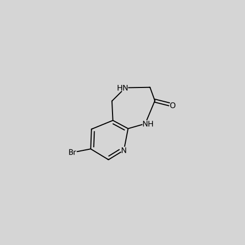 O=C1CNCc2cc(Br)cnc2N1